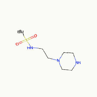 CC(C)(C)S(=O)(=O)NCCN1CCNCC1